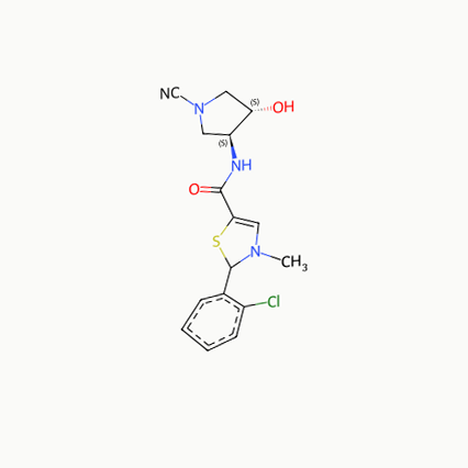 CN1C=C(C(=O)N[C@H]2CN(C#N)C[C@@H]2O)SC1c1ccccc1Cl